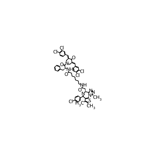 Cc1sc2c(c1C)C(c1ccc(Cl)cc1)=N[C@@H](CC(=O)NCCCCCCC(=O)N[C@@H](Cc1ccccc1)C(=O)N1C/C(=C\c3ccc(Cl)c(Cl)c3)C(=O)/C(=C/c3ccc(Cl)c(Cl)c3)C1)c1nnc(C)n1-2